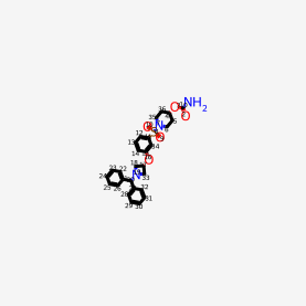 NC(=O)OC1CCN(S(=O)(=O)c2cccc(OC3CN(C(c4ccccc4)c4ccccc4)C3)c2)CC1